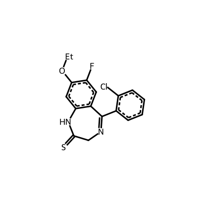 CCOc1cc2c(cc1F)C(c1ccccc1Cl)=NCC(=S)N2